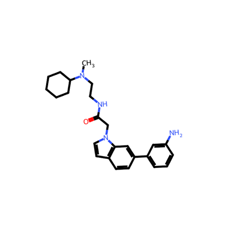 CN(CCNC(=O)Cn1ccc2ccc(-c3cccc(N)c3)cc21)C1CCCCC1